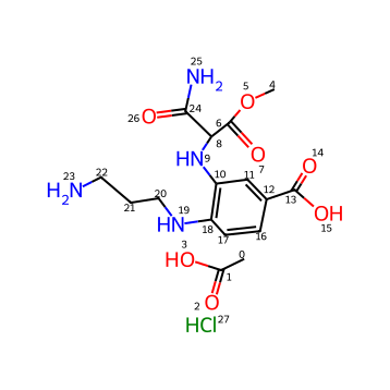 CC(=O)O.COC(=O)C(Nc1cc(C(=O)O)ccc1NCCCN)C(N)=O.Cl